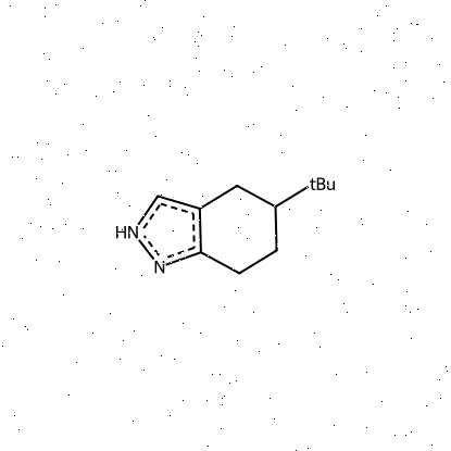 CC(C)(C)C1CCc2n[nH]cc2C1